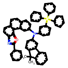 CC1(C)c2ccccc2-c2cc(N(c3cccc(S(c4ccccc4)(c4ccccc4)c4ccccc4)c3)c3ccc4ccc5ccc6nc(-c7ccccc7)oc6c5c4c3)ccc21